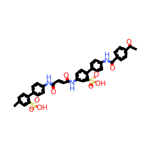 CC(=O)c1ccc(C(=O)Nc2ccc(-c3ccc(NC(=O)/C=C/C(=O)Nc4ccc(-c5ccc(C)cc5S(=O)(=O)O)cc4)cc3S(=O)(=O)O)cc2)cc1